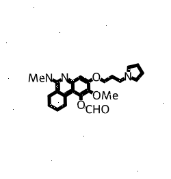 CNc1nc2cc(OCCCN3CCCC3)c(OC)c(OC=O)c2c2c1CCCC2